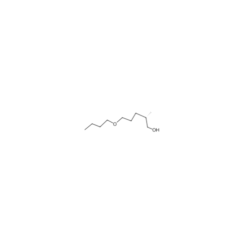 CCCCOCCC[C@H](C)CO